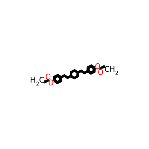 C=CC(=O)Oc1ccc(CCC2CCC(CCc3ccc(OC(=O)C=C)cc3)CC2)cc1